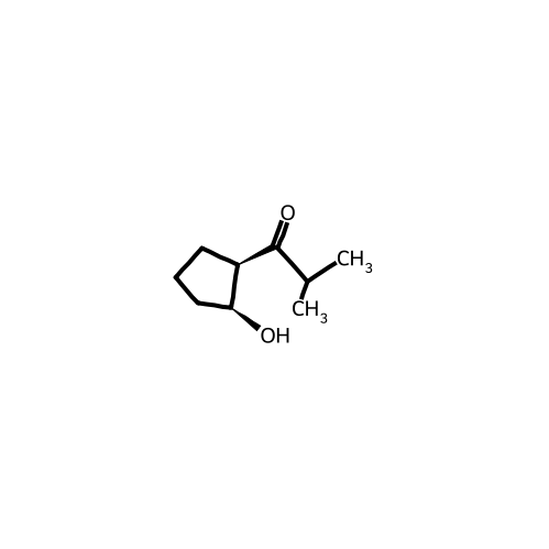 CC(C)C(=O)[C@@H]1CCC[C@@H]1O